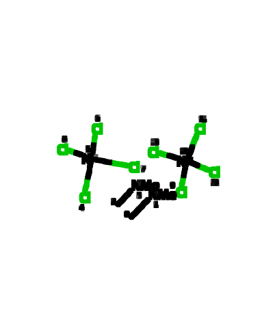 C[NH2+]C.C[NH2+]C.[Cl][Ni-]([Cl])([Cl])[Cl].[Cl][Ni-]([Cl])([Cl])[Cl]